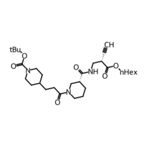 C#C[C@@H](CNC(=O)[C@@H]1CCCN(C(=O)CCC2CCN(C(=O)OC(C)(C)C)CC2)C1)C(=O)OCCCCCC